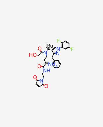 CC(C)(C)[C@H](c1cn(-c2cc(F)ccc2F)nc1Cc1ccccc1)N(CC[C@H](N)C(=O)NCCN1C(=O)C=CC1=O)C(=O)CO